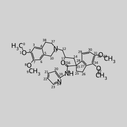 COc1cc2c(cc1OC)CN(CCCC1(C(=O)Nc3ccccn3)CCc3c1ccc(OC)c3OC)CC2